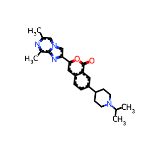 Cc1cn2cc(-c3cc4ccc(C5CCN(C(C)C)CC5)cc4c(=O)o3)nc2c(C)n1